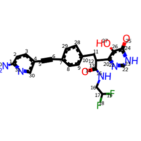 Nc1ccc(C#Cc2ccc(CC(C(=O)NCC(F)F)c3nc[nH]c(=O)c3O)cc2)cn1